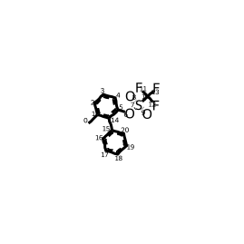 Cc1cccc(OS(=O)(=O)C(F)(F)F)c1-c1ccccc1